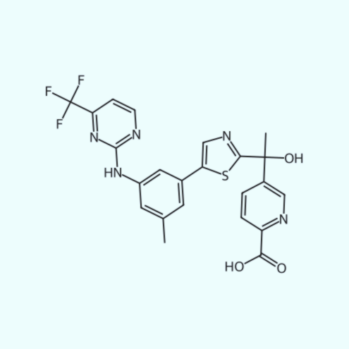 Cc1cc(Nc2nccc(C(F)(F)F)n2)cc(-c2cnc(C(C)(O)c3ccc(C(=O)O)nc3)s2)c1